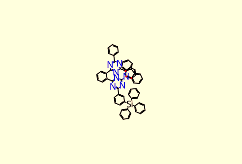 c1ccc(-c2nc(-c3ccccc3)nc(-c3ccccc3-c3nc(-c4cccc([Si](c5ccccc5)(c5ccccc5)c5ccccc5)c4)nc(-n4c5ccccc5c5ccccc54)n3)n2)cc1